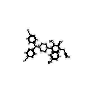 C#CCn1c(=O)c(C#N)c(N2CCN(C(c3ccc(F)cc3)c3ccc(F)cc3)CC2)c2nc(Br)ccc21